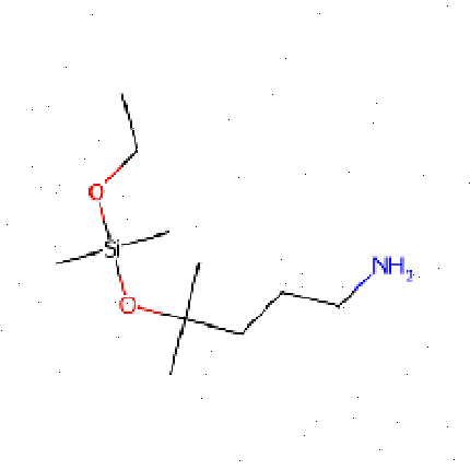 CCO[Si](C)(C)OC(C)(C)CCCN